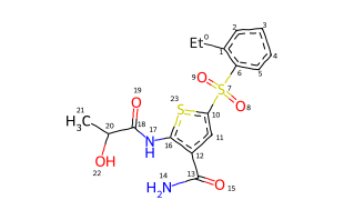 CCc1ccccc1S(=O)(=O)c1cc(C(N)=O)c(NC(=O)C(C)O)s1